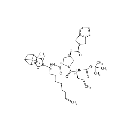 C=CCCCCCC[C@@H](NC(=O)[C@@H]1C[C@@H](OC(=O)N2Cc3ccccc3C2)CN1C(=O)[C@H](CC=C)NC(=O)OC(C)(C)C)B1OC2CC3CC(C3(C)C)C2(C)O1